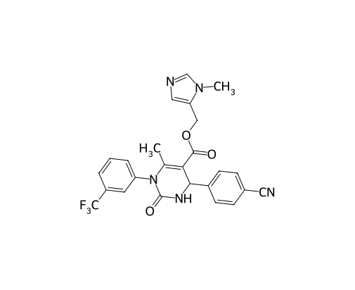 CC1=C(C(=O)OCc2cncn2C)C(c2ccc(C#N)cc2)NC(=O)N1c1cccc(C(F)(F)F)c1